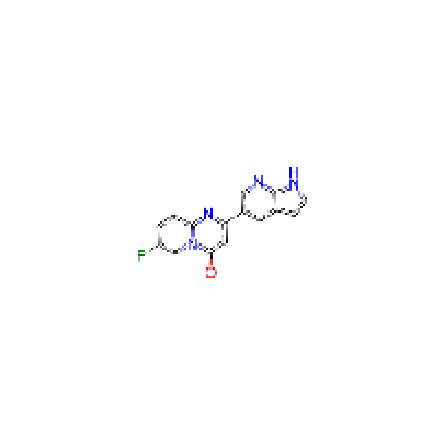 O=c1cc(-c2cnc3[nH]ccc3c2)nc2ccc(F)cn12